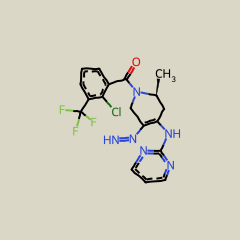 C[C@H]1CC(Nc2ncccn2)=C(N=N)CN1C(=O)c1cccc(C(F)(F)F)c1Cl